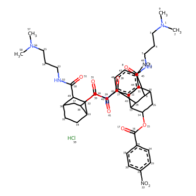 CN(C)CCCNC(=O)C1C2CCC(C(OC(=O)c3ccc([N+](=O)[O-])cc3)C2)C1C(=O)NC(=O)C1C2CCC(CC2OC(=O)c2ccc([N+](=O)[O-])cc2)C1C(=O)NCCCN(C)C.Cl